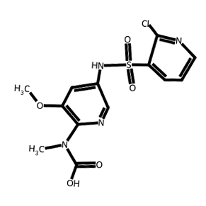 COc1cc(NS(=O)(=O)c2cccnc2Cl)cnc1N(C)C(=O)O